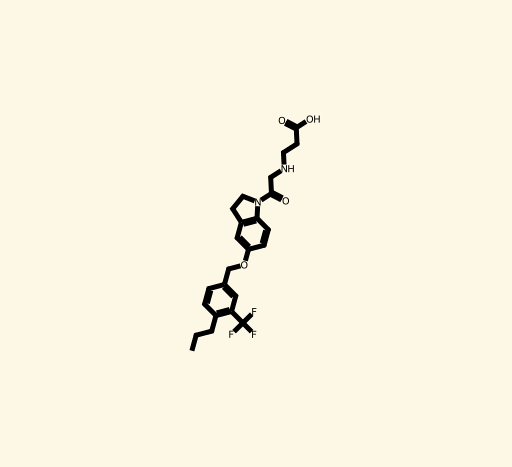 CCCc1ccc(COc2ccc3c(c2)CCN3C(=O)CNCCC(=O)O)cc1C(F)(F)F